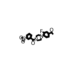 CC(=O)c1ccc(N2CCN(C(=O)c3cccc([N+](=O)[O-])c3)CC2)c(F)c1